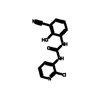 N#Cc1cccc(NC(=O)Nc2cccnc2Cl)c1O